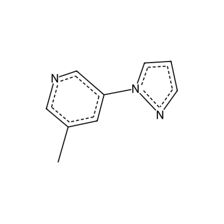 Cc1cncc(-n2cccn2)c1